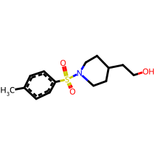 Cc1ccc(S(=O)(=O)N2CCC(CCO)CC2)cc1